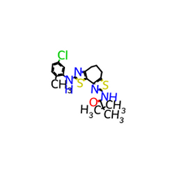 Cc1ccc(Cl)cc1Nc1nc2c(s1)-c1nc(NC(=O)C(C)(C)C)sc1CCC2